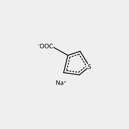 O=C([O-])c1ccsc1.[Na+]